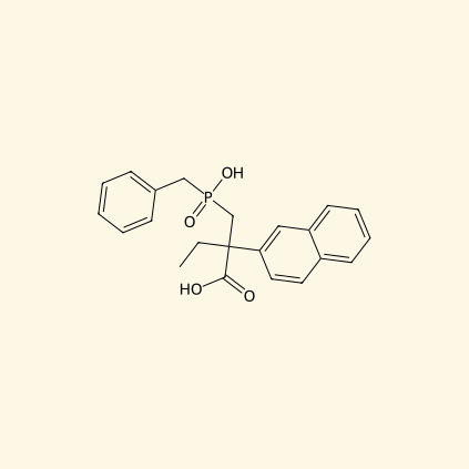 CCC(CP(=O)(O)Cc1ccccc1)(C(=O)O)c1ccc2ccccc2c1